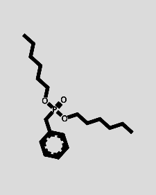 CCCCCCOP(=O)(Cc1cc[c]cc1)OCCCCCC